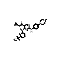 CN1CCN(c2ccc(Nc3ncc(/C(F)=C/C4CC4)c(N(C)c4cccc(C(C)(C)O)n4)n3)cc2)CC1